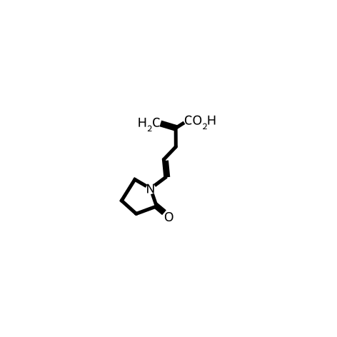 C=C(CC=CN1CCCC1=O)C(=O)O